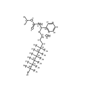 CC(C)OC(=O)NC(C[C@H](O)CCC(F)(F)C(F)(F)C(F)(F)C(F)(F)C(F)(F)C(F)(F)F)c1ccccc1